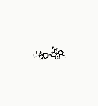 C[C@@H]1OCC2(CCN(C3=CC(O)N(c4cccc(Cl)c4Cl)C(C(F)F)=N3)CC2)[C@@H]1N